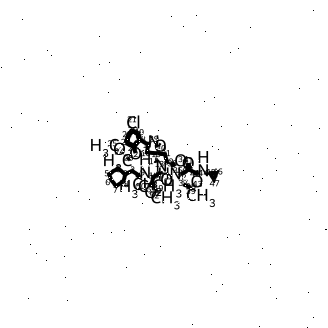 C=C(CC1CCCCC1)N[C@H](C(=O)N1C[C@@]2(CC(c3cc(Cl)cc(OC)c3OC)=NO2)C[C@H]1C(=O)N[C@@H](CCC)C(=O)C(=O)NC1CC1)C(C)(C)OC